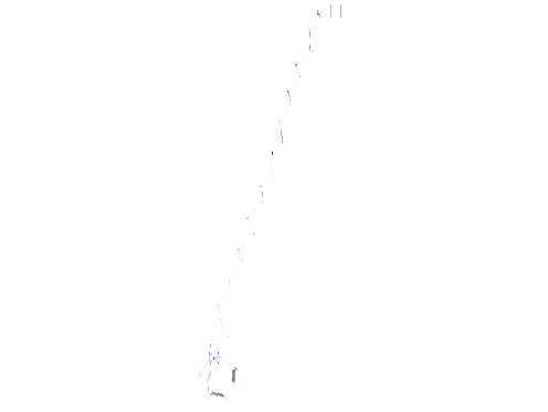 CCCCCCCCCCCCCCCCCCCCCCN1C=CC=CO1